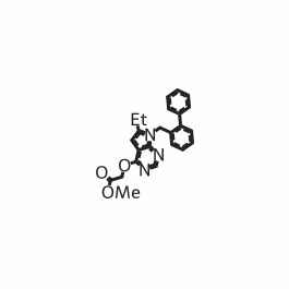 CCc1cc2c(OCC(=O)OC)ncnc2n1Cc1ccccc1-c1ccccc1